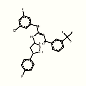 O=C(/N=C(/Nc1cc(F)cc(Cl)c1)NC1CC(c2ccc(F)cc2)NN1)c1cccc(C(F)(F)F)c1